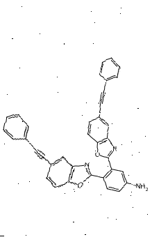 Nc1ccc(-c2nc3cc(C#Cc4ccccc4)ccc3o2)c(-c2nc3cc(C#Cc4ccccc4)ccc3o2)c1